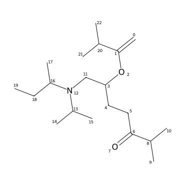 C=C(OC(CCC(=O)C(C)C)CN(C(C)C)C(C)CC)C(C)C